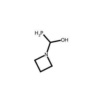 OC(P)N1CCC1